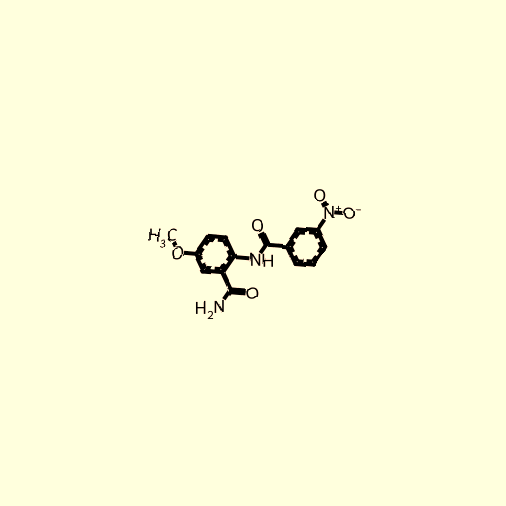 COc1ccc(NC(=O)c2cccc([N+](=O)[O-])c2)c(C(N)=O)c1